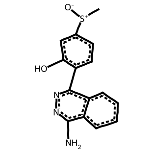 C[S+]([O-])c1ccc(-c2nnc(N)c3ccccc23)c(O)c1